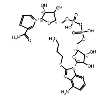 CCCCSc1nc2c(N)ccnc2n1[C@@H]1O[C@H](COP(=O)(O)OP(=O)(O)OC[C@@H]2O[C@H]([n+]3cccc(C(N)=O)c3)[C@H](O)C2O)[C@H](O)C1O